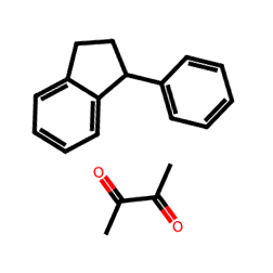 CC(=O)C(C)=O.c1ccc(C2CCc3ccccc32)cc1